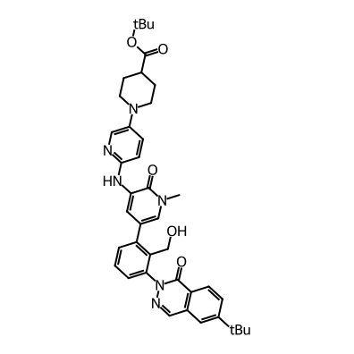 Cn1cc(-c2cccc(-n3ncc4cc(C(C)(C)C)ccc4c3=O)c2CO)cc(Nc2ccc(N3CCC(C(=O)OC(C)(C)C)CC3)cn2)c1=O